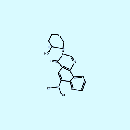 O=c1c2cc(B(O)O)c3ncccc3c2ncn1[C@H]1COCC[C@@H]1O